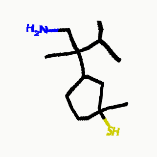 CC(C)C(C)(CN)C1CCC(C)(S)C1